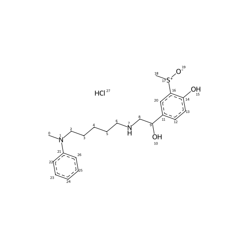 CN(CCCCCNCC(O)c1ccc(O)c([S+](C)[O-])c1)c1ccccc1.Cl